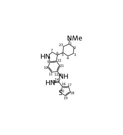 CNC1CCCC(C2CNc3ccc(NC(=N)c4cccs4)cc32)C1